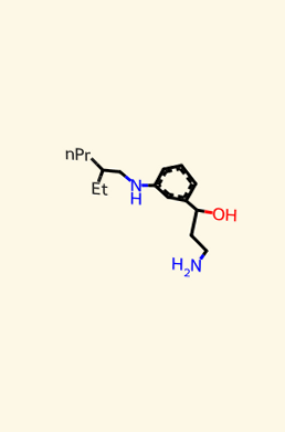 CCCC(CC)CNc1cccc(C(O)CCN)c1